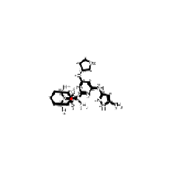 CCS(=O)(=O)N1[C@@H]2CCC[C@H]1C[C@@H](N(C)c1nc(Nc3cc(C)[nH]n3)cc(O[C@H]3CCOC3)n1)C2